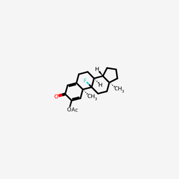 CC(=O)OC1=C[C@@]2(C)C(=CC1=O)CC[C@H]1[C@@H]3CCC[C@@]3(C)CCC12F